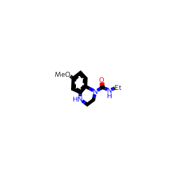 CCNC(=O)N1CCNc2cc(OC)ccc21